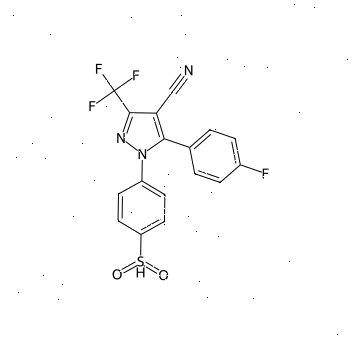 N#Cc1c(C(F)(F)F)nn(-c2ccc([SH](=O)=O)cc2)c1-c1ccc(F)cc1